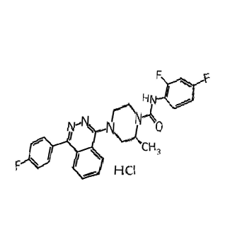 C[C@H]1CN(c2nnc(-c3ccc(F)cc3)c3ccccc23)CCN1C(=O)Nc1ccc(F)cc1F.Cl